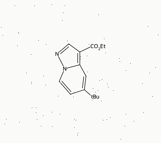 CCOC(=O)c1cnn2ccc(C(C)(C)C)cc12